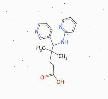 CC(C)(CCC(=O)O)C(Nc1ccccn1)c1cccnc1